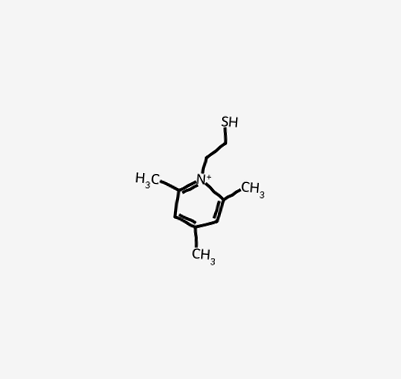 Cc1cc(C)[n+](CCS)c(C)c1